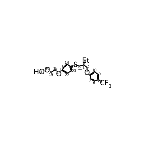 CCC(COc1ccc(C(F)(F)F)cc1)CSc1ccc(OCCOO)cc1